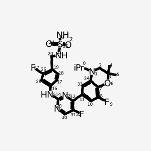 CC(C)N1CC(C)(C)Oc2c(F)cc(-c3nc(Nc4ccc(CNS(N)(=O)=O)c(F)c4)ncc3F)cc21